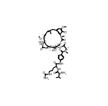 COc1cc2cc(c1Cl)N(C)C(=O)C[C@H](OC(=O)[C@H](C)N(C)C(=O)c1ccc(NC(=O)C(CCCNC(N)=O)NC(=O)[C@@H](N)C(C)C)cc1)[C@]1(C)O[C@H]1[C@H](C)[C@@H]1C[C@@](O)(NC(=O)O1)[C@H](OC)/C=C/C=C(\C)C2